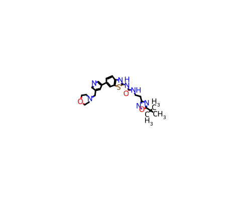 CC(C)(C)c1nc(CCNC(=O)Nc2nc3ccc(-c4cncc(CN5CCOCC5)c4)cc3s2)no1